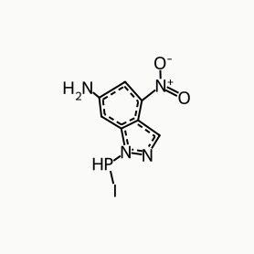 Nc1cc([N+](=O)[O-])c2cnn(PI)c2c1